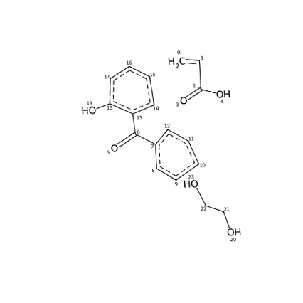 C=CC(=O)O.O=C(c1ccccc1)c1ccccc1O.OCCO